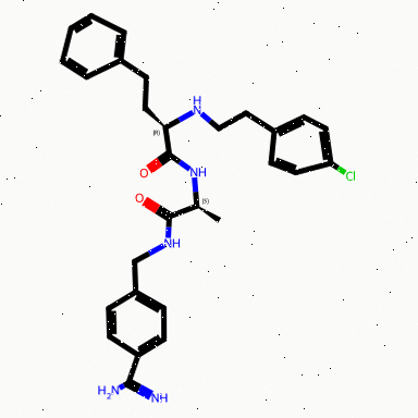 C[C@H](NC(=O)[C@@H](CCc1ccccc1)NCCc1ccc(Cl)cc1)C(=O)NCc1ccc(C(=N)N)cc1